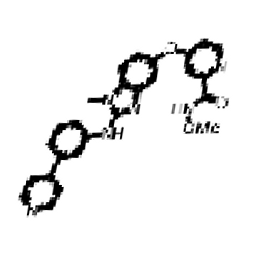 CONC(=O)c1cc(Oc2ccc3c(c2)nc(Nc2cccc(-c4ccncc4)c2)n3C)ccn1